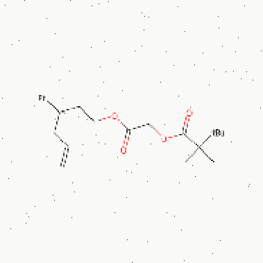 C=CCC(CC)CCOC(=O)COC(=O)C(C)(C)C(C)(C)C